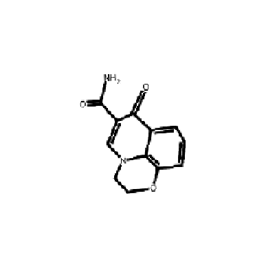 NC(=O)c1cn2c3c(cccc3c1=O)OCC2